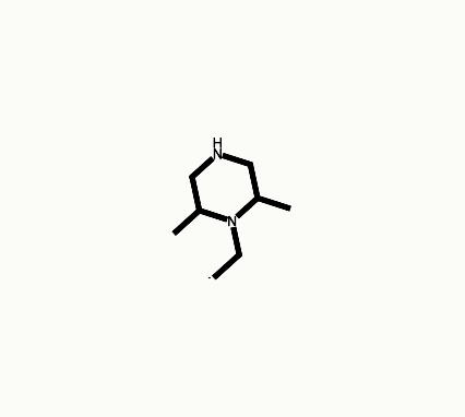 [CH2]CN1C(C)CNCC1C